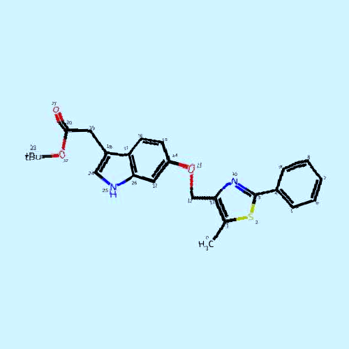 Cc1sc(-c2ccccc2)nc1COc1ccc2c(CC(=O)OC(C)(C)C)c[nH]c2c1